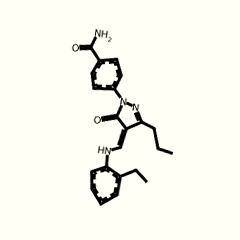 CCCC1=NN(c2ccc(C(N)=O)cc2)C(=O)C1=CNc1ccccc1CC